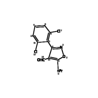 CCCc1onc(-c2c(Cl)cccc2Cl)c1C=O